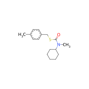 Cc1ccc(CSC(=O)N(C)C2CCCCC2)cc1